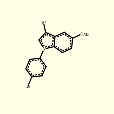 CCc1cn(-c2ccc(Br)cc2)c2ccc(OC)cc12